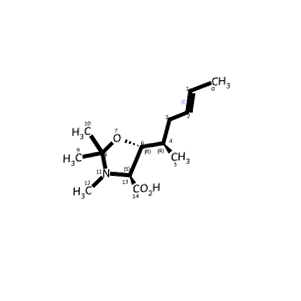 C/C=C/C[C@@H](C)[C@H]1OC(C)(C)N(C)[C@@H]1C(=O)O